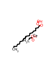 CCC(=O)O.CCCCCCCCC=CCCCCCCCC(=O)OO.[Ce]